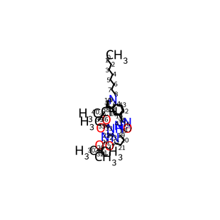 CCCCCCCCCn1ccc2cc(-c3noc([C@@H]4CCCN4/C(=N\C(=O)OC(C)(C)C)NC(=O)OC(C)(C)C)n3)ccc21